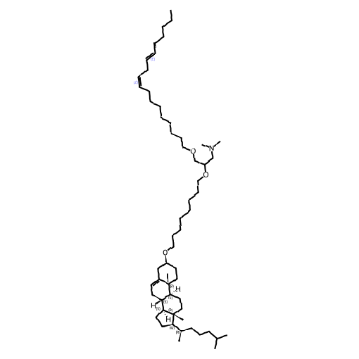 CCCCC/C=C/C/C=C\CCCCCCCCOCC(CN(C)C)OCCCCCCCCOC1CC[C@@]2(C)C(=CC[C@H]3[C@@H]4CC[C@H]([C@H](C)CCCC(C)C)[C@@]4(C)CC[C@@H]32)C1